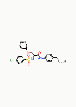 O=C(O)Cc1ccc(NC(=O)C(COc2ccccc2)NS(=O)(=O)c2ccc(Cl)cc2)cc1